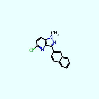 Cn1nc(-c2ccc3ccccc3c2)c2nc(Cl)ccc21